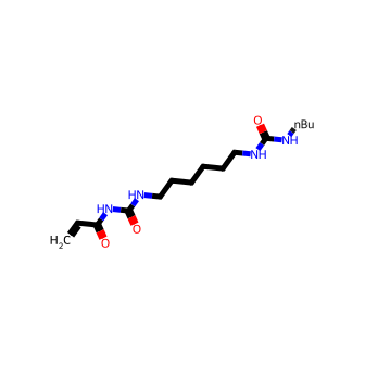 C=CC(=O)NC(=O)NCCCCCCNC(=O)NCCCC